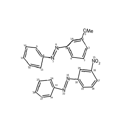 COc1cccc(/N=N/c2ccccc2)c1.O=[N+]([O-])c1cccc(/N=N/c2ccccc2)c1